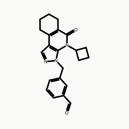 O=Cc1cccc(Cn2ncc3c4c(c(=O)n(C5CCC5)c32)CCCC4)c1